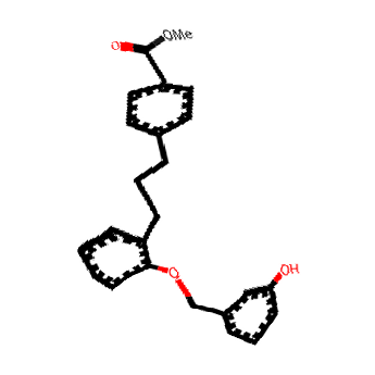 COC(=O)c1ccc(CCCc2ccccc2OCc2cccc(O)c2)cc1